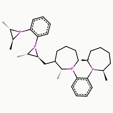 C[C@@H]1CCCC[C@H](C)P1c1ccccc1P1[C@H](C)C(C[C@H]2[C@H](C)P2c2ccccc2P2[C@@H](C)[C@@H]2C)CCC[C@@H]1C